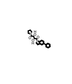 O=C([C@H](O)[C@@H](O)C(=O)n1ccc2cc(-c3ccccc3)ccc21)N1CCCC1